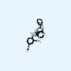 [C-]#[N+]c1ccc(Nc2ncnc(O[C@H]3CC4CCC3N4C(=O)OC(C)(C)C)c2C)c(C)c1